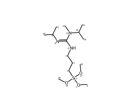 CO[Si](CCCNC(=NC(C)C)N(C)C(C)C)(OC)OC